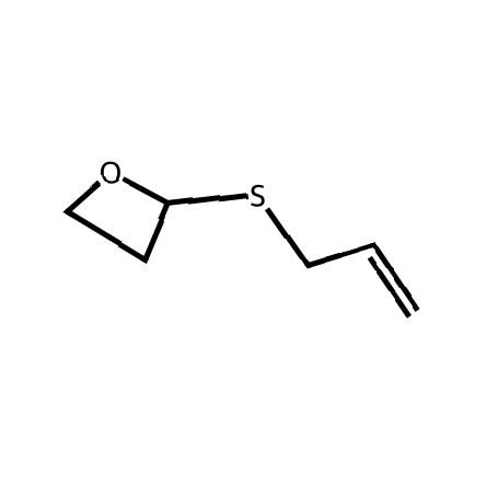 C=CCSC1CCO1